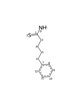 [NH]C(=S)CCCCc1ccccc1